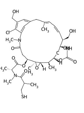 C/C1=C\C=C\[C@@H](CO)[C@@]2(O)C[C@H](OC(=O)N2)[C@@H](C)[C@@H]2O[C@@]2(C)[C@@H](OC(=O)[C@@H](C)N(C)C(=O)C(C)CS)CC(=O)N(C)c2cc(cc(CO)c2Cl)C1